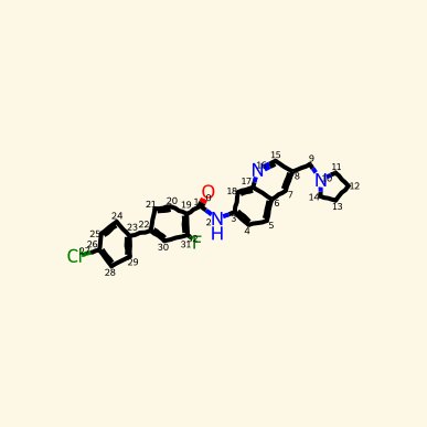 O=C(Nc1ccc2cc(CN3CCCC3)cnc2c1)c1ccc(-c2ccc(Cl)cc2)cc1F